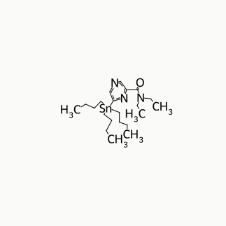 CCC[CH2][Sn]([CH2]CCC)([CH2]CCC)[c]1cncc(C(=O)N(CC)CC)n1